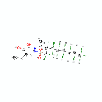 CCC(=CNS(=O)(=O)C(F)(F)C(F)(CC)C(F)(F)C(F)(F)C(F)(F)C(F)(F)C(F)(F)C(F)(F)F)C(=O)O